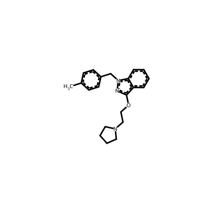 Cc1ccc(Cn2nc(OCCN3CCCC3)c3ccccc32)cc1